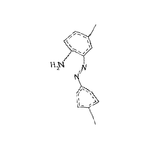 Cc1ccc(N=Nc2cc(C)ccc2N)cc1